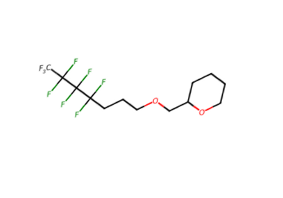 FC(F)(F)C(F)(F)C(F)(F)C(F)(F)CCCOCC1CCCCO1